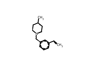 C=Cc1cccc(CN2CCC(C)CC2)c1